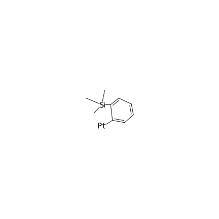 C[Si](C)(C)c1cccc[c]1[Pt]